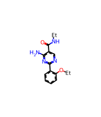 CCNC(=O)c1cnc(-c2ccccc2OCC)nc1N